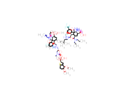 CCCN(CCC)C(=O)C1(c2cc(F)cc(F)c2)C([C@@H](CC)CNC[C@H]2CN(CC)C(=O)O2)=C(C)C=C(C(=O)O)[C@H]1N.CCCN(CCC)C(=O)C1=C([C@@H](CC)CNCCC(C)C)C(C(N)=O)(c2cc(F)cc(C(F)(F)F)c2)[C@H](N)C(C(=O)O)=C1.COc1ccc2sc(C(=O)O)cc2c1OC